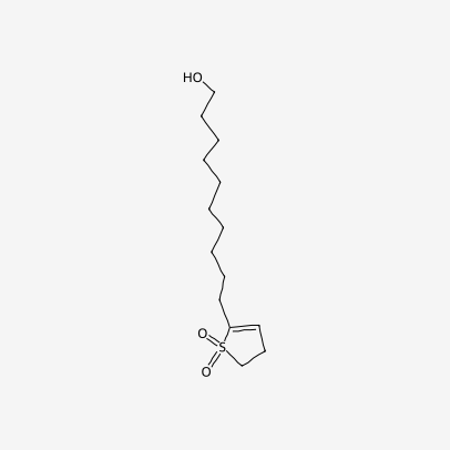 O=S1(=O)CCC=C1CCCCCCCCCCO